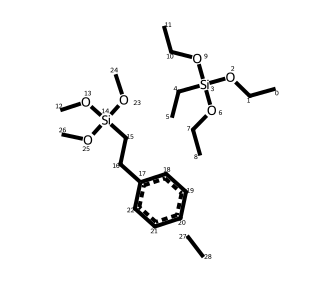 CCO[Si](CC)(OCC)OCC.CO[Si](CCc1ccccc1)(OC)OC.[CH2]C